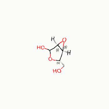 OC[C@@H]1OC(O)[C@H]2O[C@@H]12